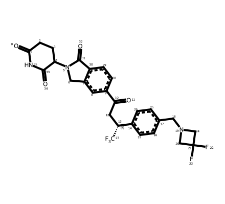 O=C1CCC(N2Cc3cc(C(=O)C[C@H](c4ccc(CN5CC(F)(F)C5)cc4)C(F)(F)F)ccc3C2=O)C(=O)N1